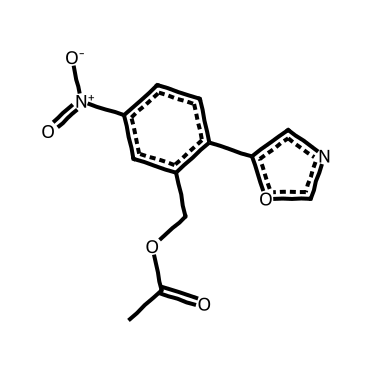 CC(=O)OCc1cc([N+](=O)[O-])ccc1-c1cnco1